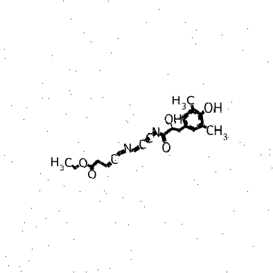 CCOC(=O)CC=C=C=NC=C=C=NC(=O)[C@H](O)Cc1cc(C)c(O)c(C)c1